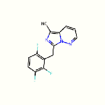 N#Cc1nc(Cc2c(F)ccc(F)c2F)n2ncccc12